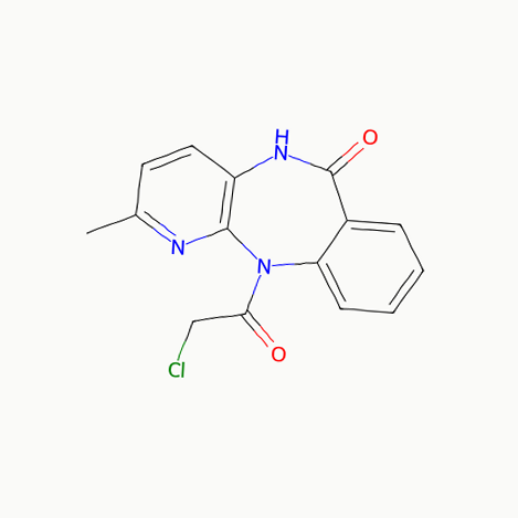 Cc1ccc2c(n1)N(C(=O)CCl)c1ccccc1C(=O)N2